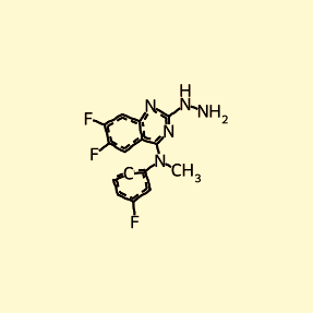 CN(c1cccc(F)c1)c1nc(NN)nc2cc(F)c(F)cc12